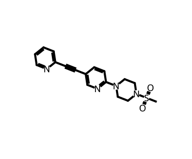 CS(=O)(=O)N1CCN(c2ccc(C#Cc3ccccn3)cn2)CC1